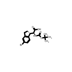 CC(C)(C)OC(=O)N[C@H](C(=O)O)[C@H]1CCc2cc(Br)ccc21